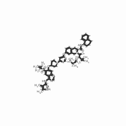 CN[C@@H](C)CN[C@H](C(=O)N1Cc2cc(Oc3cc(N4CCC(Oc5cc6ncnc(Nc7n[nH]c(C)c7C)c6cc5S(=O)(=O)C(C)(C)C)CC4)ncn3)ccc2C[C@H]1C(=O)N[C@@H]1CCCc2ccccc21)C(C)(C)C